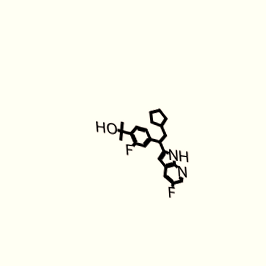 CC(C)(O)c1ccc(C(CC2CCCC2)c2cc3cc(F)cnc3[nH]2)cc1F